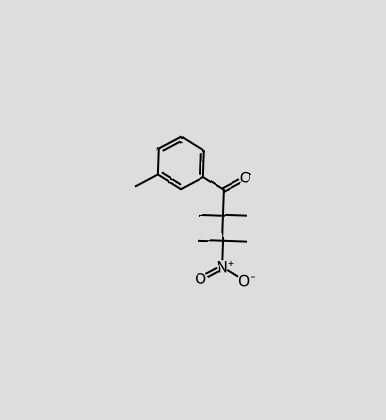 Cc1cccc(C(=O)C(C)(C)C(C)(C)[N+](=O)[O-])c1